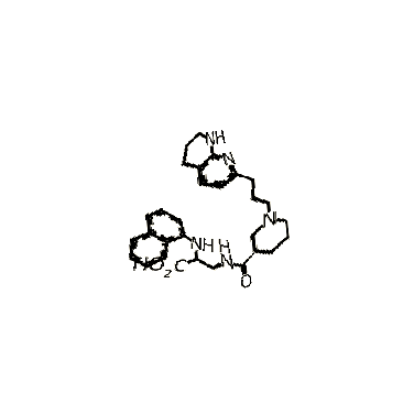 O=C(O)C(CNC(=O)[C@@H]1CCCN(CCCc2ccc3c(n2)NCCC3)C1)Nc1cccc2ccccc12